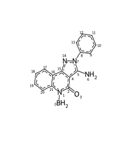 Bn1c(=O)c2c(N)n(-c3ccccc3)nc2c2ccccc21